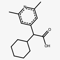 Cc1cc(C(C(=O)O)C2CCCCC2)cc(C)n1